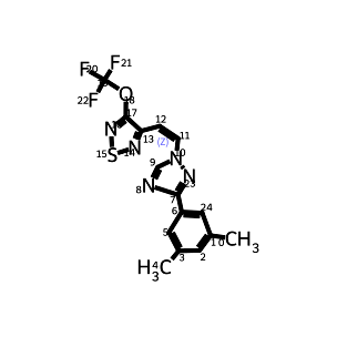 Cc1cc(C)cc(-c2ncn(/C=C\c3nsnc3OC(F)(F)F)n2)c1